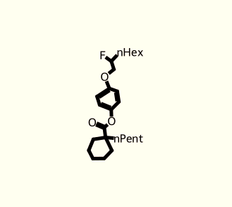 CCCCCCC(F)COc1ccc(OC(=O)C2(CCCCC)CCCCC2)cc1